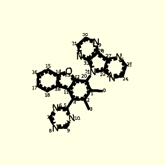 Cc1c(C)c(-c2ncncn2)c2c(oc3ccccc32)c1-n1c2nccnc2c2nccnc21